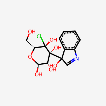 OC[C@H]1O[C@H](O)[C@@H](O)[C@](O)(C2(O)C=Nc3ccccc32)[C@@]1(O)Cl